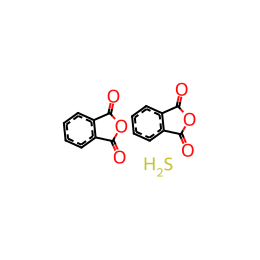 O=C1OC(=O)c2ccccc21.O=C1OC(=O)c2ccccc21.S